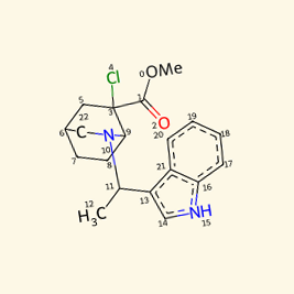 COC(=O)C1(Cl)CC2CCC1N(C(C)c1c[nH]c3ccccc13)C2